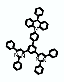 c1ccc(-c2cc(-c3cc(-c4ccc(N5c6ccccc6C(c6ccccc6)c6ccccc65)cc4)cc(-c4cc(-c5ccccc5)nc(-c5ccccc5)n4)c3)nc(-c3ccccc3)n2)cc1